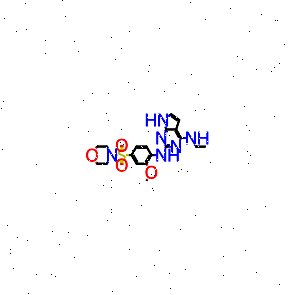 CCNc1nc(Nc2ccc(S(=O)(=O)N3CCOCC3)cc2OC)nc2[nH]ccc12